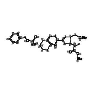 COCC1CN(c2ccc3c(n2)CC[C@H](NC(=O)OCc2ccccc2)C3)CC1N(C)C(=O)OC(C)(C)C